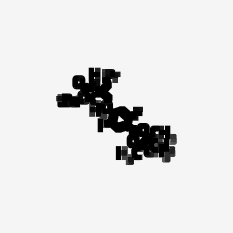 CC(C)CC(C)(COc1cc(F)c(B2OC(C)(C)C(C)(C)O2)cc1F)NC(=O)OC(C)(C)C